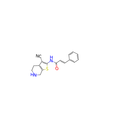 N#Cc1c(NC(=O)/C=C/c2ccccc2)sc2c1CCNC2